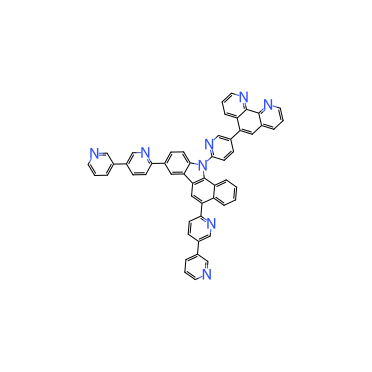 c1cncc(-c2ccc(-c3ccc4c(c3)c3cc(-c5ccc(-c6cccnc6)cn5)c5ccccc5c3n4-c3ccc(-c4cc5cccnc5c5ncccc45)cn3)nc2)c1